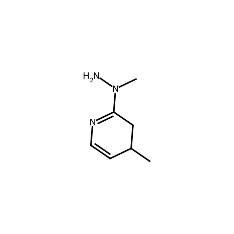 CC1C=CN=C(N(C)N)C1